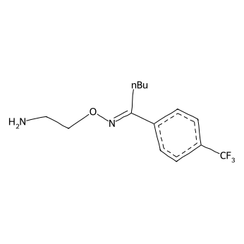 CCCCC(=NOCCN)c1ccc(C(F)(F)F)cc1